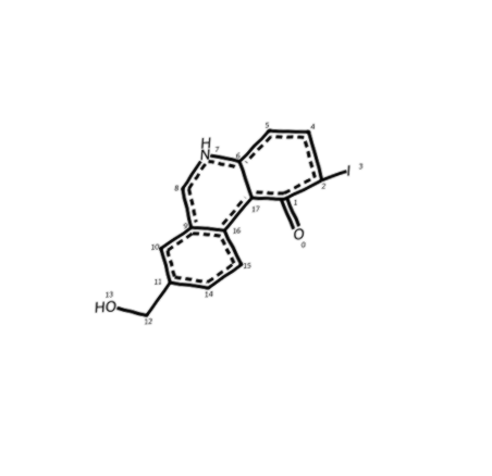 O=c1c(I)ccc2[nH]cc3cc(CO)ccc3c1-2